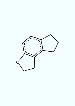 c1cc2c(c3c1CCC3)CCO2